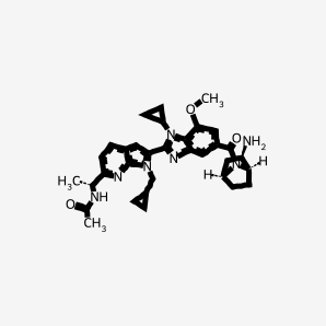 COc1cc(C(=O)N2[C@H]3CC[C@@H]2[C@H](N)C3)cc2nc(-c3cc4ccc([C@@H](C)NC(C)=O)nc4n3CC3CC3)n(C3CC3)c12